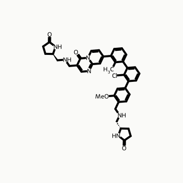 COc1cc(-c2cccc(-c3cccc(-c4ccn5c(=O)c(CNC[C@H]6CCC(=O)N6)cnc5c4)c3C)c2Cl)ccc1CNC[C@@H]1CCC(=O)N1